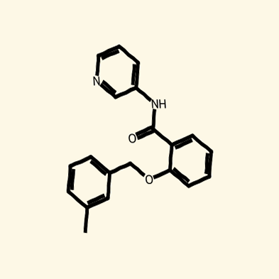 Cc1cccc(COc2ccccc2C(=O)Nc2cccnc2)c1